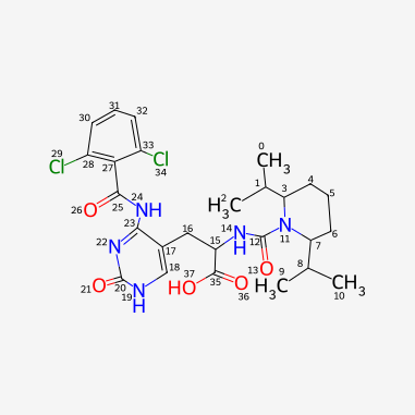 CC(C)C1CCCC(C(C)C)N1C(=O)NC(Cc1c[nH]c(=O)nc1NC(=O)c1c(Cl)cccc1Cl)C(=O)O